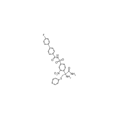 NC(=O)C(N)(CSc1ccccc1)c1ccc(S(=O)(=O)NC(=O)c2ccc(-c3ccc(F)cc3)cc2)cc1[N+](=O)[O-]